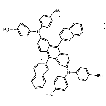 CCC(C)c1ccc(N(c2ccc(C)cc2)c2ccc3c(-c4ccc5ccccc5c4)c4cc(N(c5ccc(C)cc5)c5ccc(C(C)CC)cc5)ccc4c(-c4ccc5ccccc5c4)c3c2)cc1